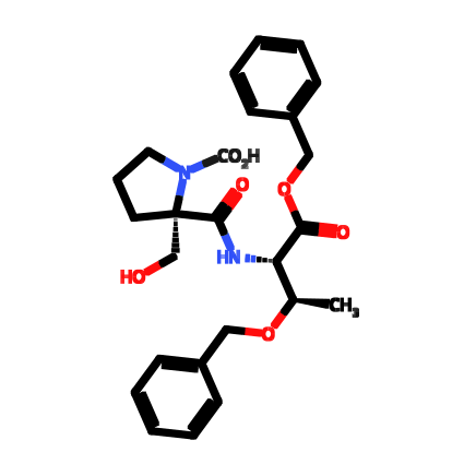 C[C@@H](OCc1ccccc1)[C@H](NC(=O)[C@@]1(CO)CCCN1C(=O)O)C(=O)OCc1ccccc1